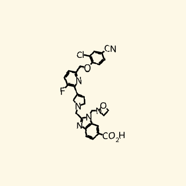 N#Cc1ccc(OCc2ccc(F)c(C3=CCN(Cc4nc5ccc(C(=O)O)cc5n4CN4CCO4)C3)n2)c(Cl)c1